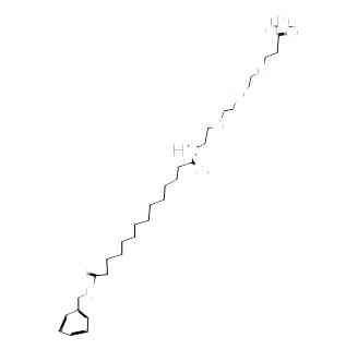 CC(C)(C)OC(=O)CCOCCOCCOCCNC(=O)CCCCCCCCCCCCC(=O)OCc1ccccc1